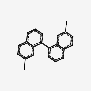 Ic1ccc2cccc(-c3cccc4ccc(I)cc34)c2c1